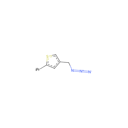 CC(C)c1cc(CN=[N+]=[N-])cs1